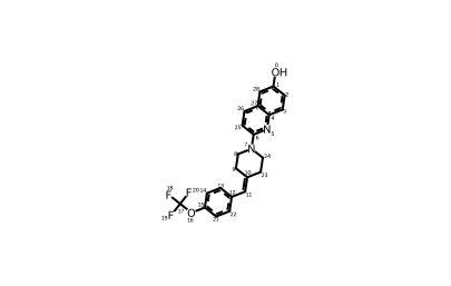 Oc1ccc2nc(N3CCC(=Cc4ccc(OC(F)(F)F)cc4)CC3)ccc2c1